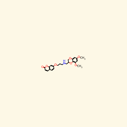 COc1cc(OC)c2c(c1)OCC(CNCCCOc1ccc3ccc(=O)oc3c1)O2